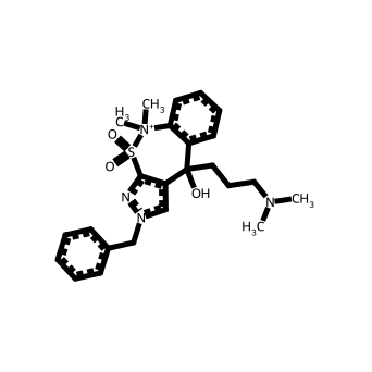 CN(C)CCCC1(O)c2ccccc2[N+](C)(C)S(=O)(=O)c2nn(Cc3ccccc3)cc21